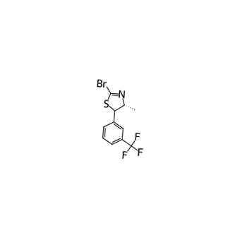 C[C@H]1N=C(Br)SC1c1cccc(C(F)(F)F)c1